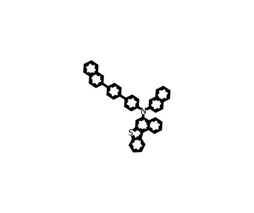 c1ccc2cc(-c3ccc(-c4ccc(N(c5ccc6ccccc6c5)c5cc6sc7ccccc7c6c6ccccc56)cc4)cc3)ccc2c1